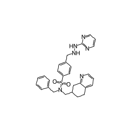 O=S(=O)(c1ccc(CNNc2ncccn2)cc1)N(Cc1ccccc1)CC1CCc2cccnc2C1